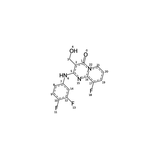 O=c1c(CO)c(Nc2ccc(F)c(F)c2)nc2c(F)cccn12